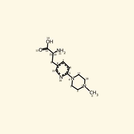 CN1CCN(c2ccc(C[C@H](N)C(=O)O)cn2)CC1